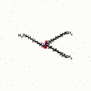 CCCCCCCCCCCCCCCCCC(=O)ON(C(=O)CCCCCCCCCCCCCCCCC)C(=O)CCCCCCCCCCCCCCCCC